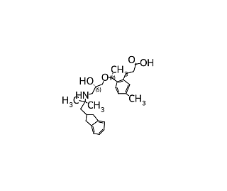 Cc1ccc([C@@H](C)OC[C@@H](O)CNC(C)(C)CC2Cc3ccccc3C2)c(CCC(=O)O)c1